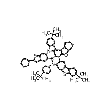 CC(C)(C)c1ccc(N2B3c4cc5cc(-c6ccccc6)sc5cc4-n4c5ccc(C(C)(C)C)cc5c5c6c(oc7ccccc76)c(c3c54)-c3cc4c(cc32)sc2cc(C(C)(C)C)ccc24)cc1